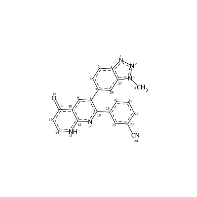 Cn1nnc2ccc(-c3cc4c(=O)cc[nH]c4nc3-c3cccc(C#N)c3)cc21